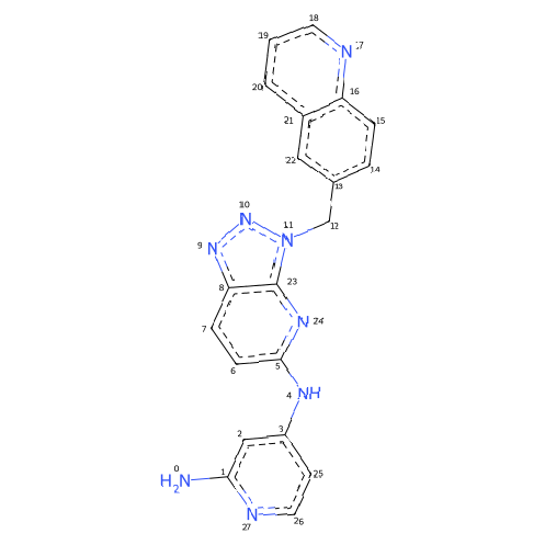 Nc1cc(Nc2ccc3nnn(Cc4ccc5ncccc5c4)c3n2)ccn1